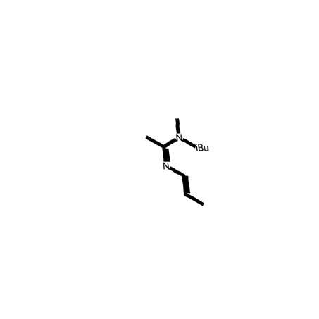 CC=C/N=C(/C)N(C)C(C)CC